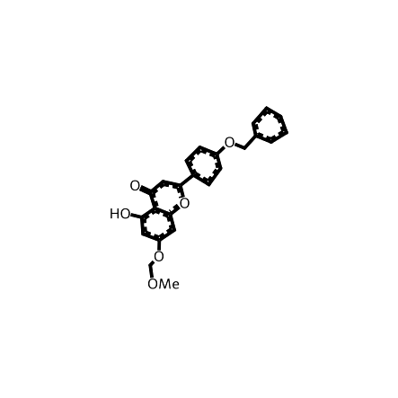 COCOc1cc(O)c2c(=O)cc(-c3ccc(OCc4ccccc4)cc3)oc2c1